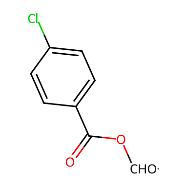 O=[C]OC(=O)c1ccc(Cl)cc1